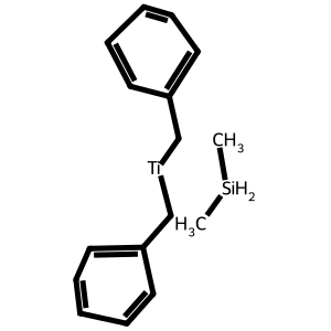 C[SiH2]C.c1ccc([CH2][Ti][CH2]c2ccccc2)cc1